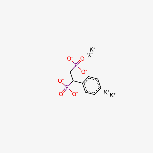 O=P([O-])([O-])CC(c1ccccc1)P(=O)([O-])[O-].[K+].[K+].[K+].[K+]